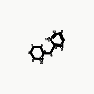 c1cnc(CC2CCCC[N]2)nc1